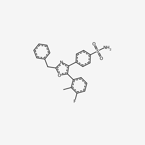 Cc1c(F)cccc1-c1oc(Cc2ccccc2)nc1-c1ccc(S(N)(=O)=O)cc1